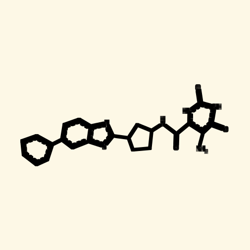 Nc1c(C(=O)NC2CCC(c3nc4ccc(-c5ccccc5)cc4s3)C2)[nH]c(=O)[nH]c1=O